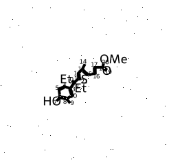 CCC(CC)(c1ccc(O)c(C)c1)c1cc(C)c(/C=C/C(=O)OC)s1